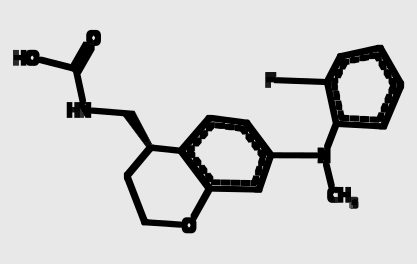 CN(c1ccc2c(c1)OCC[C@H]2CNC(=O)O)c1ccccc1F